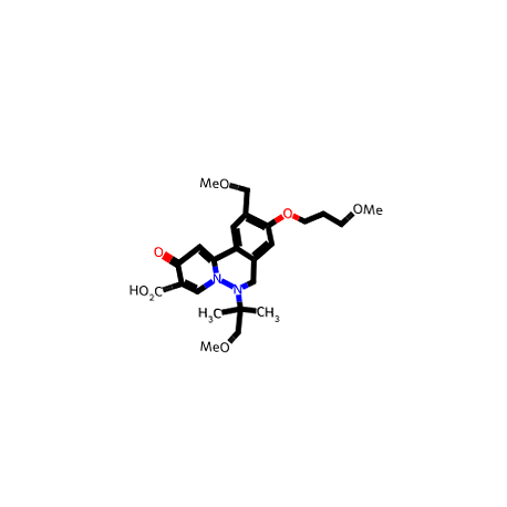 COCCCOc1cc2c(cc1COC)-c1cc(=O)c(C(=O)O)cn1N(C(C)(C)COC)C2